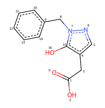 O=C(O)Cc1cnn(Cc2ccccc2)c1O